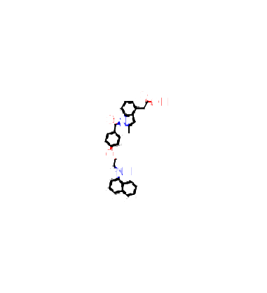 Cc1cc2c(CC(=O)O)cccc2n1C(=O)c1ccc(OCCNc2cccc3ccccc23)cc1